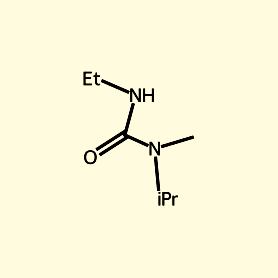 CCNC(=O)N(C)C(C)C